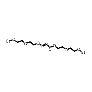 CCOCCOCCOP=NPOCCOCCOCC